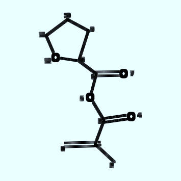 C=C(C)C(=O)OC(=O)C1CCCO1